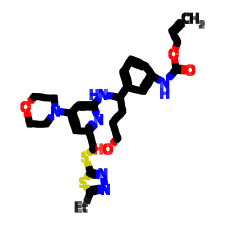 C=CCOC(=O)Nc1cccc(C(CCCO)Nc2cc(N3CCOCC3)cc(CSc3nnc(CC)s3)n2)c1